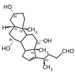 C[C@H](CCC=O)C1=CCC2C3C(C[C@H](O)[C@]12C)[C@@]1(C)CC[C@@H](O)C[C@H]1C[C@H]3O